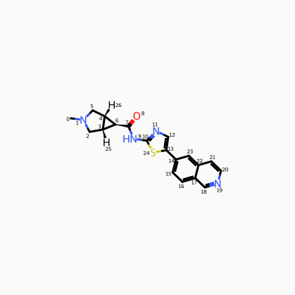 CN1C[C@@H]2[C@H](C1)[C@H]2C(=O)Nc1ncc(-c2ccc3cnccc3c2)s1